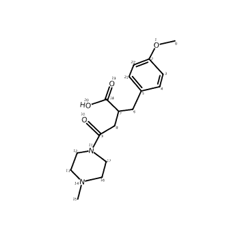 COc1ccc(CC(CC(=O)N2CCN(C)CC2)C(=O)O)cc1